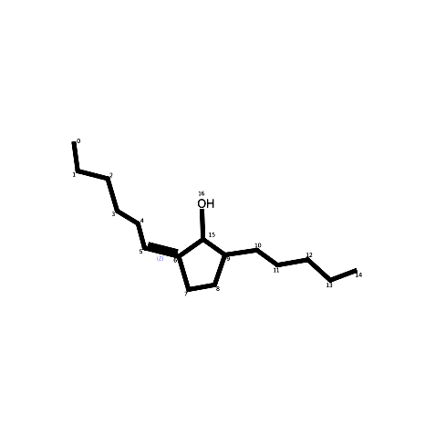 CCCCC/C=C1/CCC(CCCCC)C1O